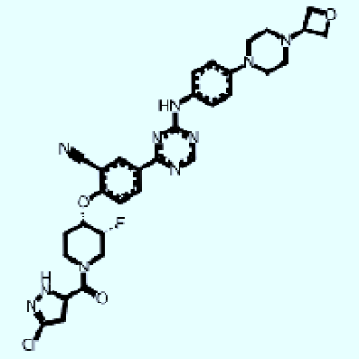 N#Cc1cc(-c2ncnc(Nc3ccc(N4CCN(C5COC5)CC4)cc3)n2)ccc1O[C@H]1CCN(C(=O)C2CC(Cl)=NN2)C[C@H]1F